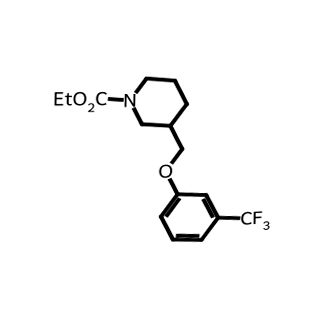 CCOC(=O)N1CCCC(COc2cccc(C(F)(F)F)c2)C1